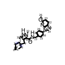 C#C/C=C\C(=C/C)CC1=C(C(=O)NCc2ccc(-n3cnc4ccc(OC)nc43)cc2)N(C)NN1C